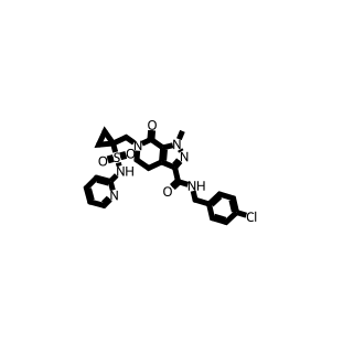 Cn1nc(C(=O)NCc2ccc(Cl)cc2)c2c1C(=O)N(CC1(S(=O)(=O)Nc3ccccn3)CC1)CC2